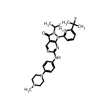 CC(C)n1c(=O)c2cnc(Nc3ccc(N4CCN(C)CC4)cc3)nc2n1-c1cccc(C(C)(C)F)n1